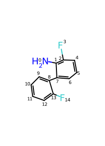 Nc1c(F)cccc1-c1ccccc1F